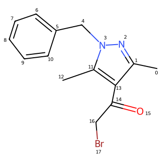 Cc1nn(Cc2ccccc2)c(C)c1C(=O)CBr